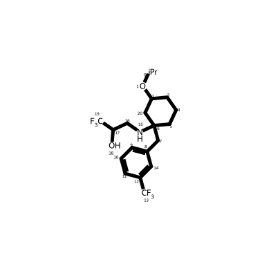 CC(C)OC1CCCC(Cc2cccc(C(F)(F)F)c2)(NCC(O)C(F)(F)F)C1